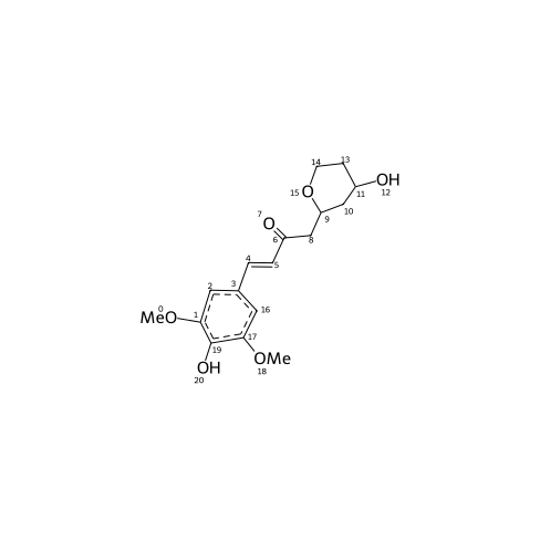 COc1cc(/C=C/C(=O)CC2CC(O)CCO2)cc(OC)c1O